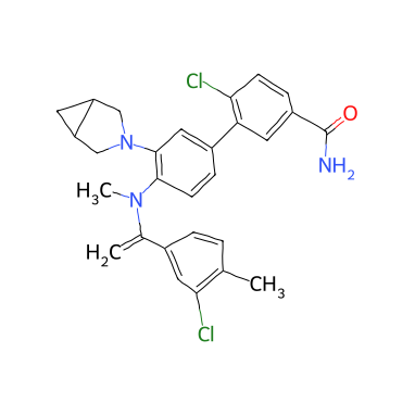 C=C(c1ccc(C)c(Cl)c1)N(C)c1ccc(-c2cc(C(N)=O)ccc2Cl)cc1N1CC2CC2C1